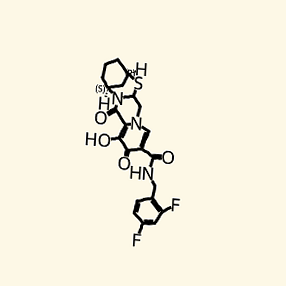 O=C(NCc1ccc(F)cc1F)c1cn2c(c(O)c1=O)C(=O)N1C(C2)S[C@@H]2CCC[C@H]1C2